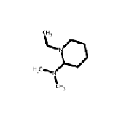 CCN1CCCCC1N(C)C